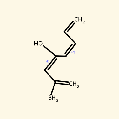 BC(=C)/C=C(O)\C=C/C=C